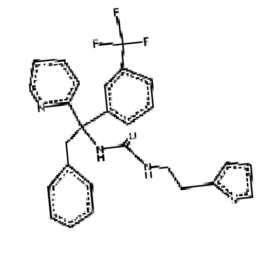 O=C(NCCc1cccs1)NC(Cc1ccccc1)(c1cccc(C(F)(F)F)c1)c1ccccn1